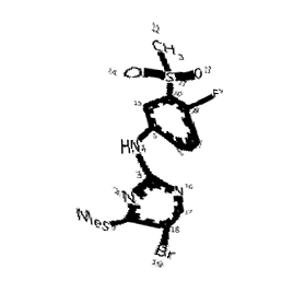 CSc1nc(Nc2ccc(F)c(S(C)(=O)=O)c2)ncc1Br